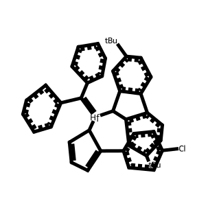 CC(C)(C)c1ccc2c(c1)[CH]([Hf](=[C](c1ccccc1)c1ccccc1)[CH]1C=CC=C1c1ccc(Cl)cc1)c1cc(C(C)(C)C)ccc1-2